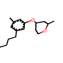 CCCCc1cc(C)[c]c(OC2CCOC(C)C2)c1